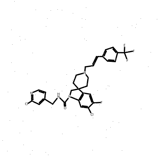 O=C(NCc1ccnc(Cl)c1)N1CC2(CCN(CC=Cc3ccc(C(F)(F)F)cc3)CC2)c2cc(F)c(Cl)cc21